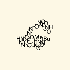 COc1cc2c(cc1N1CCN(Cc3ccc4c(c3)n(C)c(=O)n4C3CCC(=O)NC3=O)CC1)[nH]c1ncnc(-c3ccc([C@@H](C)NC(=O)c4nc(C(C)(C)C)no4)c(C)c3F)c12